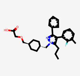 CCCc1c(-c2cccc(C)c2F)c(-c2ccccc2)nn1C[C@H]1CC[C@H](COCC(=O)O)CC1